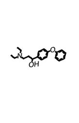 CCN(CC)CCC(O)c1ccc(Oc2ccccc2)cc1